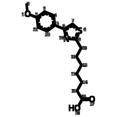 COc1ccc(-c2csc(CCCCCCC(=O)O)n2)cc1